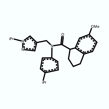 COc1ccc2c(c1)C(C(=O)N(Cc1cnn(C(C)C)c1)c1ccc(C(C)C)cc1)CCC2